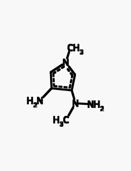 CN(N)c1cn(C)cc1N